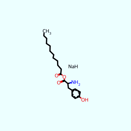 CCCCCCCCCCCC(=O)OC(=O)C(N)Cc1ccc(O)cc1.[NaH]